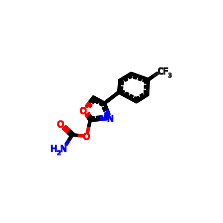 NC(=O)Oc1nc(-c2ccc(C(F)(F)F)cc2)co1